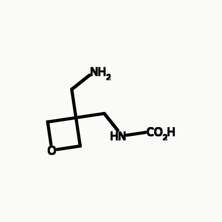 NCC1(CNC(=O)O)COC1